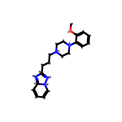 COc1ccccc1N1CCN(CCCc2nc3ccccn3n2)CC1